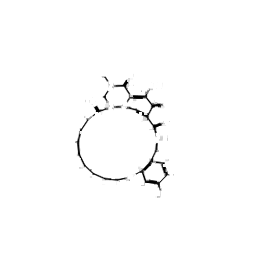 CN1CN2C(=O)CCCCCCCCOc3cc(F)ccc3CNC(=O)c3cn2c(c(O)c3=O)C1=O